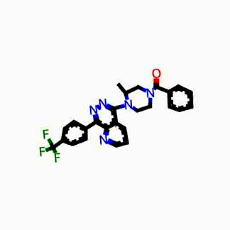 CC1CN(C(=O)c2ccccc2)CCN1c1nnc(-c2ccc(C(F)(F)F)cc2)c2ncccc12